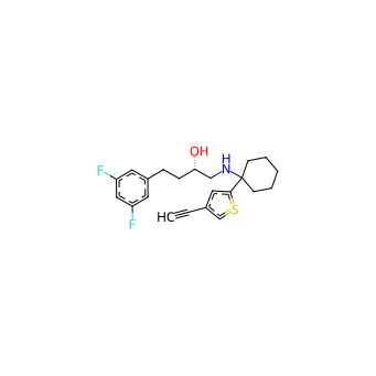 C#Cc1csc(C2(NC[C@@H](O)CCc3cc(F)cc(F)c3)CCCCC2)c1